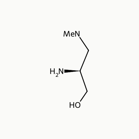 CNC[C@H](N)CO